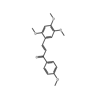 COc1ccc(C(=O)C=Cc2cc(OC)c(OC)cc2OC)cc1